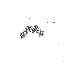 O=CC(Br)(NS(=O)(=O)c1nn2c(-c3ccc(C(F)(F)F)cc3)cnc2s1)c1ccc(C(F)(F)F)cc1